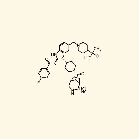 CC(C)(O)C1CCN(Cc2ccc3[nH]/c(=N\C(=O)c4ccc(F)cc4)n([C@H]4CC[C@@H](C(=O)N5C6CCC5CNC6)CC4)c3c2)CC1.Cl.Cl